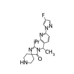 CC(C)C1=NC2(CCNCC2)C(=O)N1C(C)c1ccc(-n2cc(F)cn2)nc1